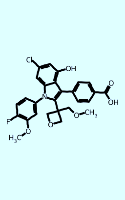 COCC1(c2c(-c3ccc(C(=O)O)cc3)c3c(O)cc(Cl)cc3n2-c2ccc(F)c(OC)c2)COC1